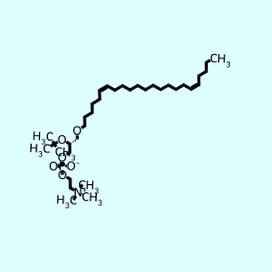 CCCC/C=C\CCCCCCCCCC/C=C\CCCCCOC[C@H](COP(=O)([O-])OCC[N+](C)(C)C)OC(C)(C)C